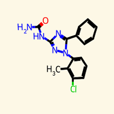 Cc1c(Cl)cccc1-n1nc(NC(N)=O)nc1-c1ccccc1